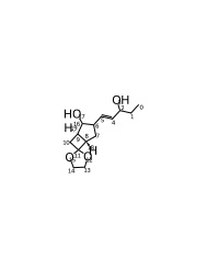 CCC(O)C=CC1C[C@H]2[C@@H](CC23OCCO3)C1O